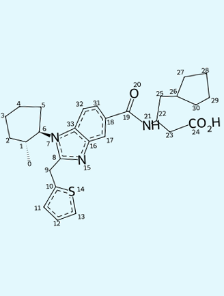 C[C@@H]1CCCC[C@H]1n1c(Cc2cccs2)nc2cc(C(=O)NC(CC(=O)O)CC3CCCC3)ccc21